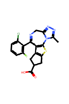 Cc1nnc2n1-c1sc3c(c1C(c1c(F)cccc1Cl)=NC2)CC(C(=O)O)C3